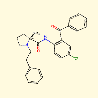 C[C@]1(C(=O)Nc2ccc(Cl)cc2C(=O)c2ccccc2)CCCN1CCc1ccccc1